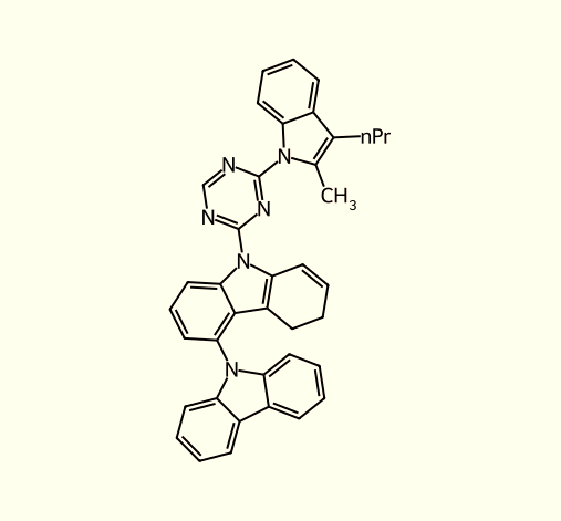 CCCc1c(C)n(-c2ncnc(-n3c4c(c5c(-n6c7ccccc7c7ccccc76)cccc53)CCC=C4)n2)c2ccccc12